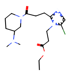 CCOC(=O)CCn1c(Cl)cnc1CCC(=O)N1CCCC(N(C)C)C1